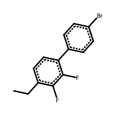 CCc1ccc(-c2ccc(Br)cc2)c(F)c1F